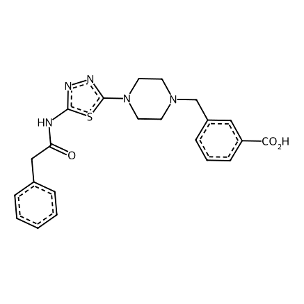 O=C(Cc1ccccc1)Nc1nnc(N2CCN(Cc3cccc(C(=O)O)c3)CC2)s1